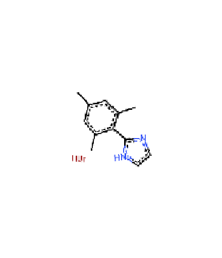 Br.Cc1cc(C)c(-c2ncc[nH]2)c(C)c1